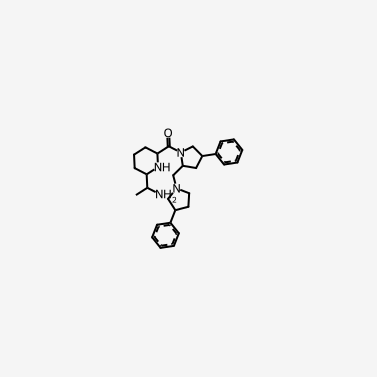 CC(N)C1CCCC(C(=O)N2CC(c3ccccc3)CC2CN2CCC(c3ccccc3)C2)N1